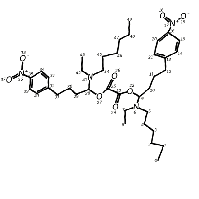 CCCCCCN(CC)C(CCCc1ccc([N+](=O)[O-])cc1)OC(=O)C(=O)OC(CCCc1ccc([N+](=O)[O-])cc1)N(CC)CCCCCC